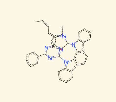 C=C/C(=C\C=C/C)c1nc(-c2ccccc2)nc(-n2c3ccccc3c3ccc4c5ccccc5n(C5CC=CC=N5)c4c32)n1